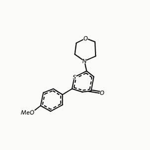 COc1ccc(-c2cc(=O)cc(N3CCOCC3)s2)cc1